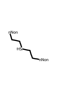 CCCCCCCCCCC[SiH]CCCCCCCCCCC